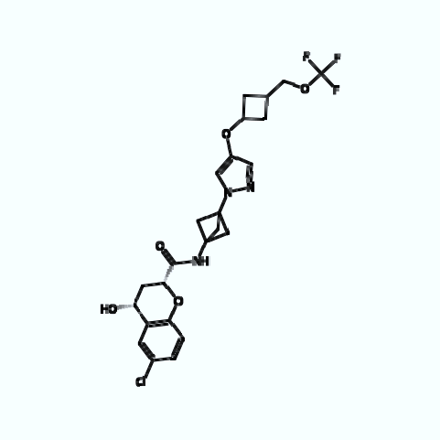 O=C(NC12CC(n3cc(OC4CC(COC(F)(F)F)C4)cn3)(C1)C2)[C@H]1C[C@@H](O)c2cc(Cl)ccc2O1